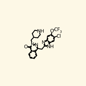 O=c1c2ccccc2c(Cc2nc3cc(OC(F)(F)F)c(Cl)cc3[nH]2)nn1CC1CCNCC1